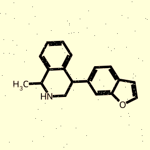 CC1NCC(c2ccc3ccoc3c2)c2ccccc21